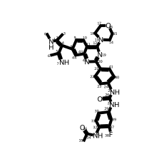 CN/C(C)=C(\C(C)=N)c1ccc2c(N3CCOCC3)nc(-c3ccc(NC(=O)Nc4ccc(NC(C)=O)c(F)c4)cc3)nc2c1